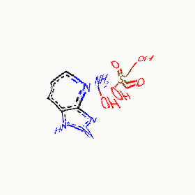 NO.O=S(=O)(O)O.c1cnc2nn[nH]c2c1